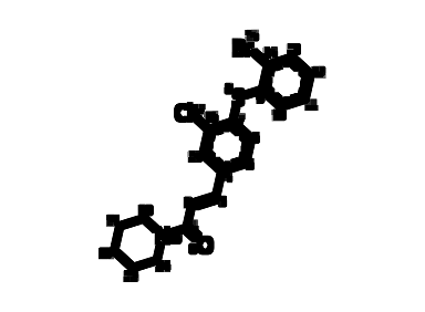 O=C(C=Cc1ccc(Sc2ccccc2Br)c(Cl)c1)N1CCCCC1